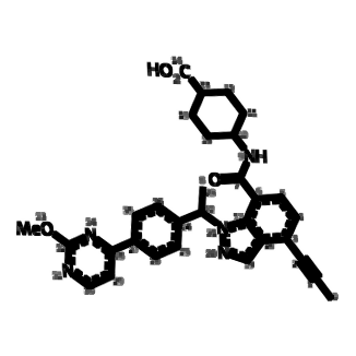 CC#Cc1ccc(C(=O)NC2CCC(C(=O)O)CC2)c2c1cnn2C(C)c1ccc(-c2ccnc(OC)n2)cc1